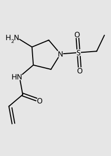 C=CC(=O)NC1CN(S(=O)(=O)CC)CC1N